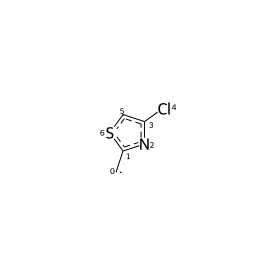 [CH2]c1nc(Cl)cs1